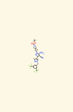 Cc1nn(Cc2cc(C(F)(F)F)cc(C(F)(F)F)c2)cc1-c1nn(C2CC3(C2)CN(C(=O)OC(C)(C)C)C3)c(N)c1C#N